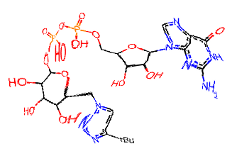 CC(C)(C)c1cn(CC2OC(OP(=O)(O)OP(=O)(O)OCC3OC(n4cnc5c(=O)[nH]c(N)nc54)C(O)C3O)C(O)C(O)C2O)nn1